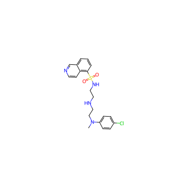 CN(CCNCCNS(=O)(=O)c1cccc2cnccc12)c1ccc(Cl)cc1